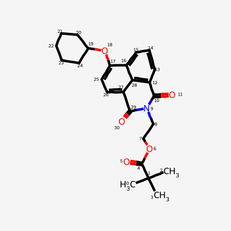 CC(C)(C)C(=O)OCCN1C(=O)c2cccc3c(OC4CCCCC4)ccc(c23)C1=O